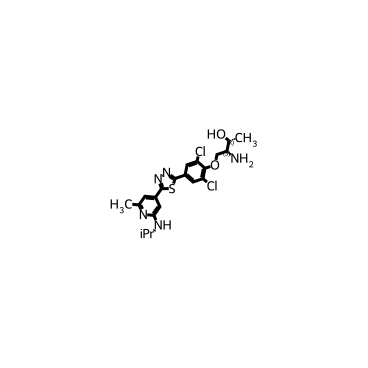 Cc1cc(-c2nnc(-c3cc(Cl)c(OC[C@H](N)[C@@H](C)O)c(Cl)c3)s2)cc(NC(C)C)n1